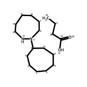 C1CCCC(N2CCCCCCN2)CCC1.CCCC(=O)O